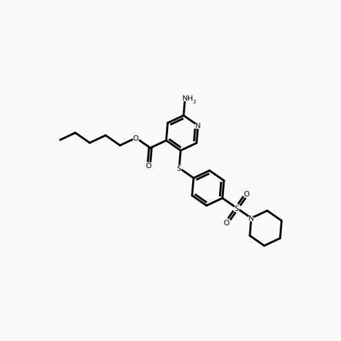 CCCCCOC(=O)c1cc(N)ncc1Sc1ccc(S(=O)(=O)N2CCCCC2)cc1